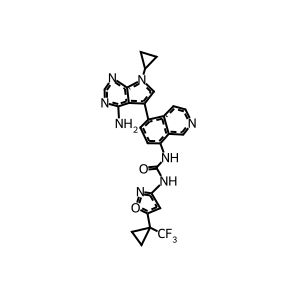 Nc1ncnc2c1c(-c1ccc(NC(=O)Nc3cc(C4(C(F)(F)F)CC4)on3)c3cnccc13)cn2C1CC1